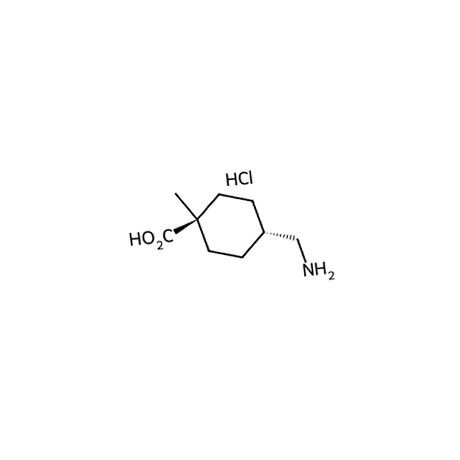 C[C@]1(C(=O)O)CC[C@H](CN)CC1.Cl